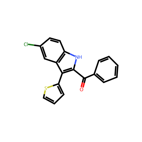 O=C(c1ccccc1)c1[nH]c2ccc(Cl)cc2c1-c1cccs1